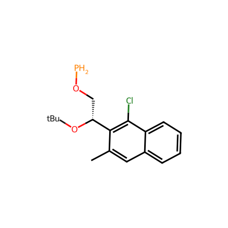 Cc1cc2ccccc2c(Cl)c1[C@@H](COP)OC(C)(C)C